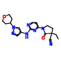 CCC1(C#N)CCN(c2ccnc(Nc3cnn(C4CCOCC4)c3)n2)C1=O